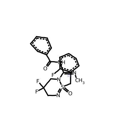 C/N=C(/NC(=O)c1ccccc1)N1CC(F)(F)CN=S1(=O)Cc1ccccc1F